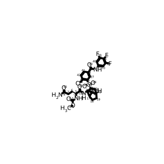 COC(=O)N[C@@H](CCC(N)=O)C(=O)NC[C@@]1(O)C2CC[C@H]1C[C@H](S(=O)(=O)c1cc(C(=O)Nc3cc(F)c(F)c(F)c3)ccc1Cl)C2